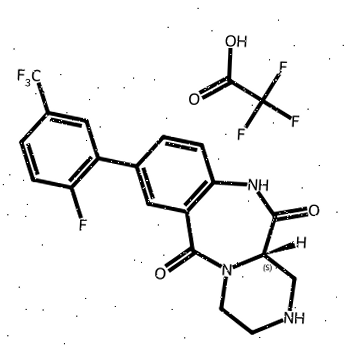 O=C(O)C(F)(F)F.O=C1Nc2ccc(-c3cc(C(F)(F)F)ccc3F)cc2C(=O)N2CCNC[C@@H]12